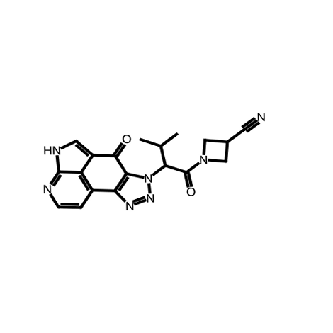 CC(C)C(C(=O)N1CC(C#N)C1)n1nnc2c1C(=O)c1c[nH]c3nccc-2c13